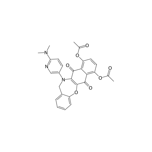 CC(=O)Oc1ccc(OC(C)=O)c2c1C(=O)C1=C(C2=O)N(c2ccc(N(C)C)nc2)Cc2ccccc2O1